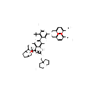 COc1ccc(CN(Cc2ccc(OC)cc2)c2nc(C)c(C(F)(F)F)c(-c3nc4c5c(nc(OCC67CCCN6C[C@H](F)C7)nc5c3F)N3C[C@H]5CC[C@@H]([C@H]3[C@H](C)O4)N5C(=O)OC(C)(C)C)c2F)cc1